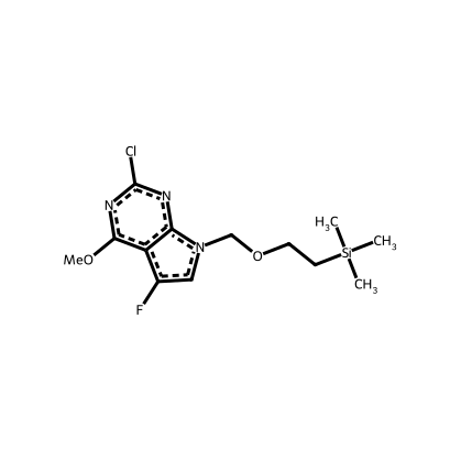 COc1nc(Cl)nc2c1c(F)cn2COCC[Si](C)(C)C